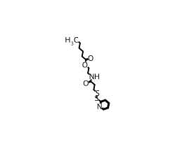 CCCCCC(=O)OCCNC(=O)CCSSc1ccccn1